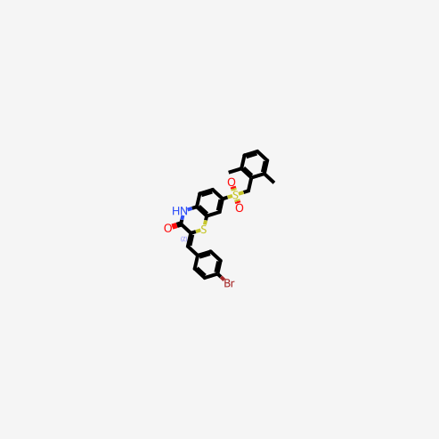 Cc1cccc(C)c1CS(=O)(=O)c1ccc2c(c1)S/C(=C\c1ccc(Br)cc1)C(=O)N2